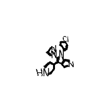 Clc1ccc(-n2c(-n3cccn3)c(C3CCNCC3)c3ccncc32)cc1